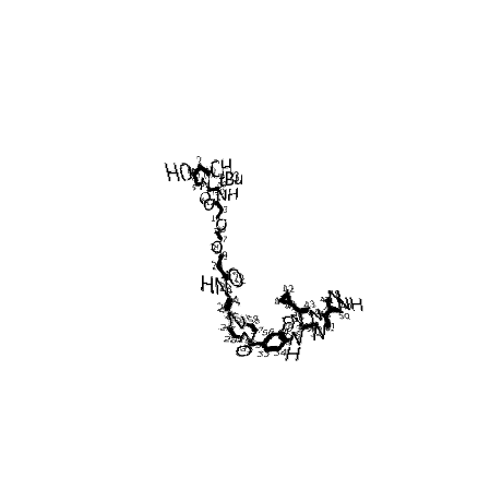 C[C@@H]1C[C@@H](O)CN1C(=O)[C@@H](NC(=O)CCOCCOCCC(=O)NCCN1CCN(C(=O)c2ccc(Nc3nc(C4CC4)cn4c(-c5cn[nH]c5)cnc34)c(F)c2)CC1)C(C)(C)C